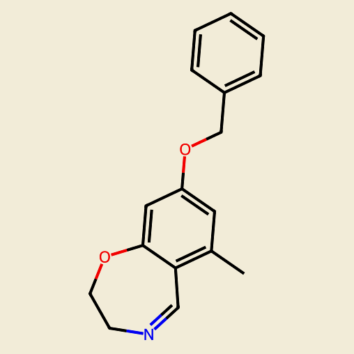 Cc1cc(OCc2ccccc2)cc2c1C=NCCO2